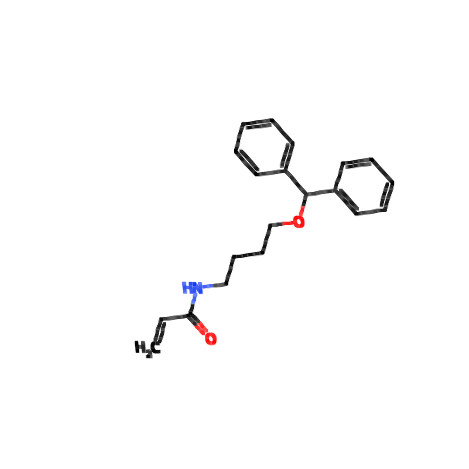 C=CC(=O)NCCCCOC(c1ccccc1)c1ccccc1